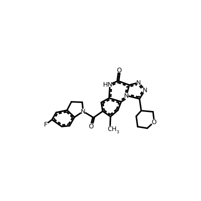 Cc1cc2c(cc1C(=O)N1CCc3cc(F)ccc31)[nH]c(=O)c1nnc(C3CCCOC3)n12